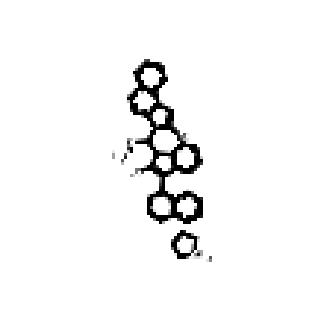 C1CC[SiH2]C1.CCC1=Cc2c(ccc3ccccc23)C1[CH]([Zr][CH3])C1C(CC)=C(c2cccc3ccccc23)c2ccccc21